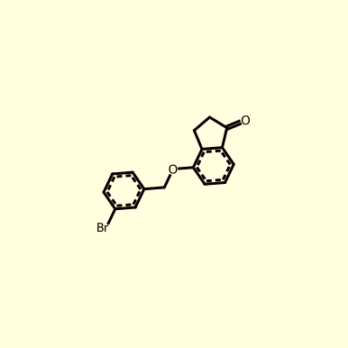 O=C1CCc2c(OCc3cccc(Br)c3)cccc21